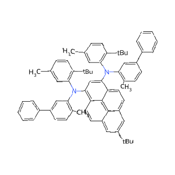 Cc1ccc(C(C)(C)C)c(N(c2cc(-c3ccccc3)ccc2C)c2cc(N(c3cc(-c4ccccc4)ccc3C)c3cc(C)ccc3C(C)(C)C)c3ccc4cc(C(C)(C)C)cc5ccc2c3c54)c1